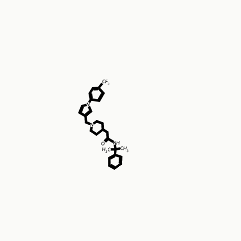 CC(C)(NC(=O)CC1CCN(Cc2ccn(-c3ccc(C(F)(F)F)cc3)c2)CC1)c1ccccc1